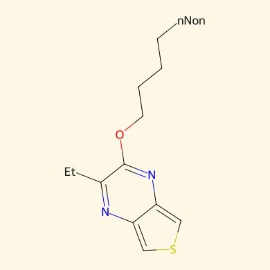 CCCCCCCCCCCCCOc1nc2cscc2nc1CC